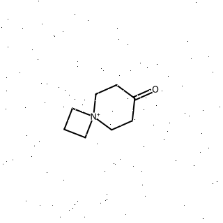 O=C1CC[N+]2(CCC2)CC1